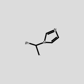 [CH2]C(C(C)C)n1ccnc1